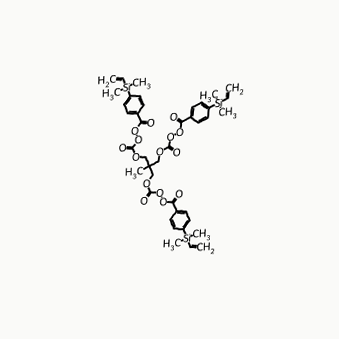 C=C[Si](C)(C)c1ccc(C(=O)OOC(=O)OCC(C)(COC(=O)OOC(=O)c2ccc([Si](C)(C)C=C)cc2)COC(=O)OOC(=O)c2ccc([Si](C)(C)C=C)cc2)cc1